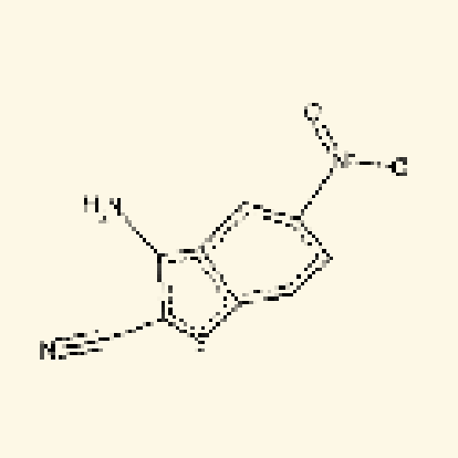 N#Cc1sc2ccc([N+](=O)[O-])cc2c1N